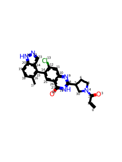 C=CC(=O)N1CCC(c2nc3cc(Cl)c(-c4c(C)ccc5[nH]ncc45)cc3c(=O)[nH]2)C1